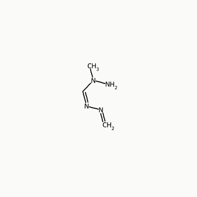 C=N/N=C\N(C)N